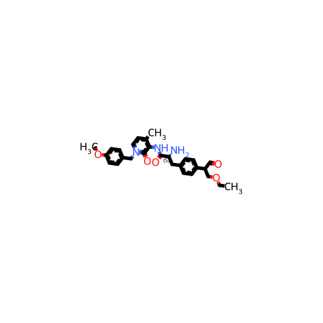 CCOCC(C=O)c1ccc(C[C@H](N)C(=O)Nc2c(C)ccn(Cc3ccc(OC)cc3)c2=O)cc1